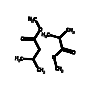 COC(=O)C(C)C.COC(=O)CC(C)C